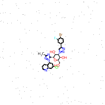 Cc1nc([C@@H]2O[C@H](CO)[C@H](O)[C@H](n3cc(-c4ccc(Br)c(F)c4)nn3)[C@H]2O)n(-c2cc(Cl)cc3ncccc23)n1